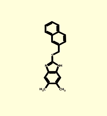 Cc1cc2nc(SCc3ccc4ccccc4c3)[nH]c2cc1C